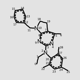 CCN(c1nc(C)c2c(n1)N(Cc1ccccc1)CC2)c1c(C)cc(C)cc1C